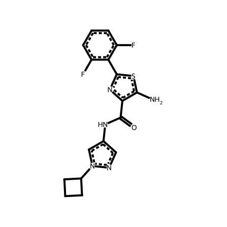 Nc1sc(-c2c(F)cccc2F)nc1C(=O)Nc1cnn(C2CCC2)c1